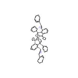 O=C(OOC(=O)c1cccc(/C=C/c2ccccc2)c1C(=O)c1ccccc1)c1cccc(/C=C/c2ccccc2)c1C(=O)c1ccccc1